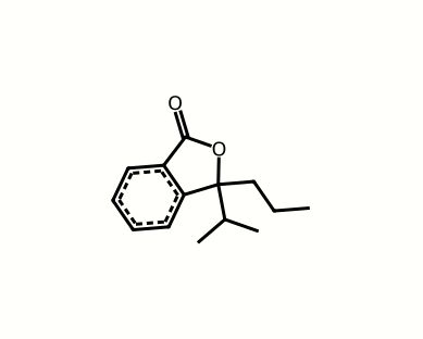 CCCC1(C(C)C)OC(=O)c2ccccc21